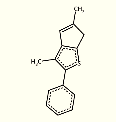 CC1=Cc2c(sc(-c3ccccc3)c2C)C1